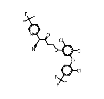 N#CC(C(=O)CCOc1cc(Oc2ccc(C(F)(F)F)cc2Cl)c(Cl)cc1Cl)c1ccc(C(F)(F)F)cn1